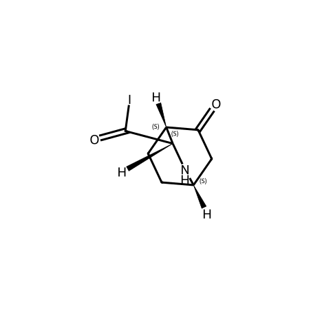 O=C1C[C@@H]2CC[C@H]1[C@@H](C(=O)I)N2